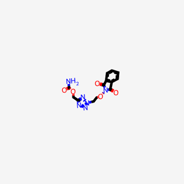 NC(=O)OCc1nnn(CCON2C(=O)c3ccccc3C2=O)n1